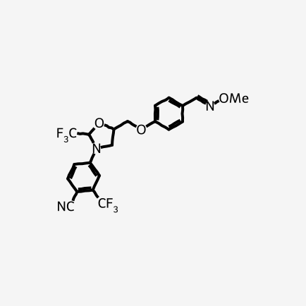 CON=Cc1ccc(OCC2CN(c3ccc(C#N)c(C(F)(F)F)c3)C(C(F)(F)F)O2)cc1